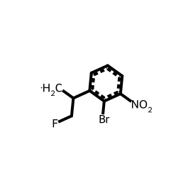 [CH2]C(CF)c1cccc([N+](=O)[O-])c1Br